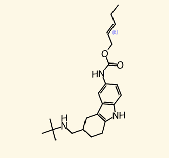 CC/C=C/COC(=O)Nc1ccc2[nH]c3c(c2c1)CC(CNC(C)(C)C)CC3